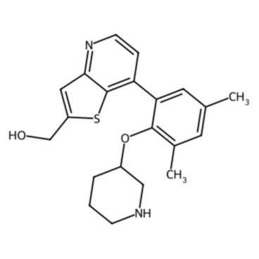 Cc1cc(C)c(OC2CCCNC2)c(-c2ccnc3cc(CO)sc23)c1